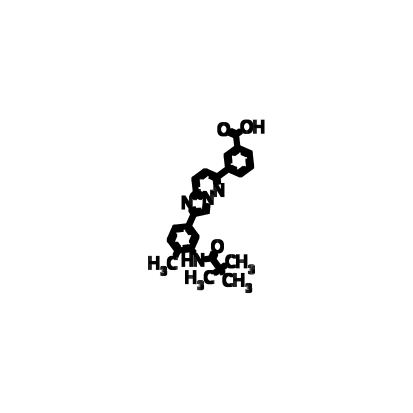 Cc1ccc(-c2cn3nc(-c4cccc(C(=O)O)c4)ccc3n2)cc1NC(=O)C(C)(C)C